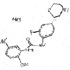 COc1ccc(C#N)cc1NC(=O)Nc1ccc([C@H]2CNCCO2)cc1F.Cl